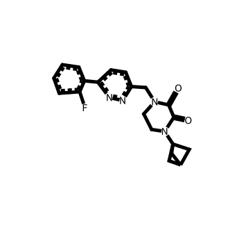 O=C1C(=O)N(C23CC(C2)C3)CCN1Cc1ccc(-c2ccccc2F)nn1